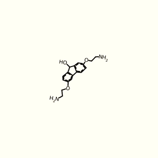 NCCOc1ccc2c(c1)-c1ccc(OCCN)cc1C2O